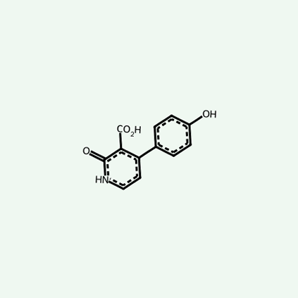 O=C(O)c1c(-c2ccc(O)cc2)cc[nH]c1=O